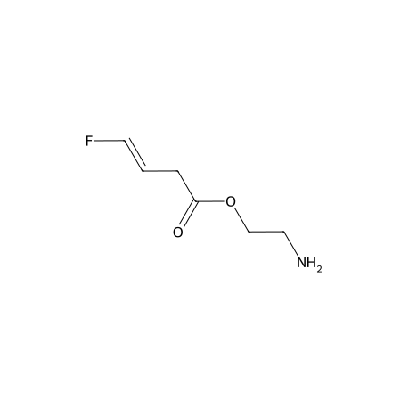 NCCOC(=O)CC=CF